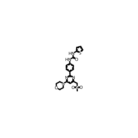 CS(=O)(=O)Cc1cc(N2CCOCC2)nc(-c2ccc(NC(=O)Nc3cccs3)cc2)n1